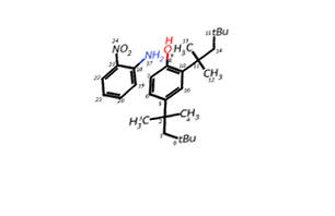 CC(C)(C)CC(C)(C)c1ccc(O)c(C(C)(C)CC(C)(C)C)c1.Nc1ccccc1[N+](=O)[O-]